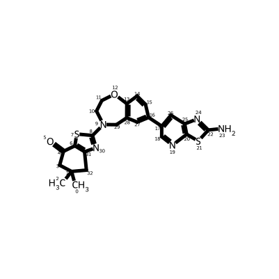 CC1(C)CC(=O)c2sc(N3CCOc4ccc(-c5cnc6sc(N)nc6c5)cc4C3)nc2C1